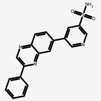 NS(=O)(=O)c1cncc(-c2ccc3ncc(-c4ccccc4)nc3c2)c1